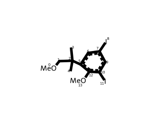 COCC(C)(C)c1cc(I)cc(I)c1OC